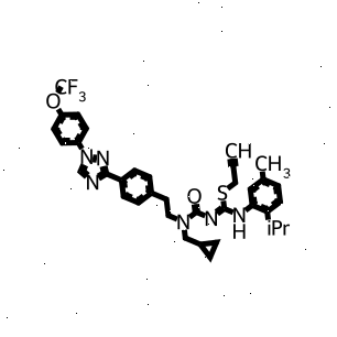 C#CCS/C(=N\C(=O)N(CCc1ccc(-c2ncn(-c3ccc(OC(F)(F)F)cc3)n2)cc1)CC1CC1)Nc1cc(C)ccc1C(C)C